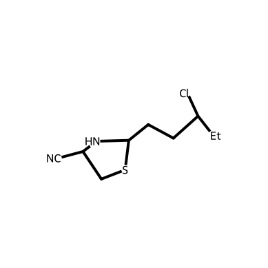 CCC(Cl)CCC1NC(C#N)CS1